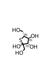 OC[C@H]1S[C@](O)(CO)[C@@H](O)[C@@H]1O